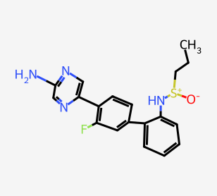 CCC[S+]([O-])Nc1ccccc1-c1ccc(-c2cnc(N)cn2)c(F)c1